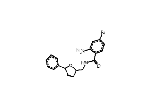 Nc1cc(Br)ccc1C(=O)NCC1CCC(c2ccccc2)O1